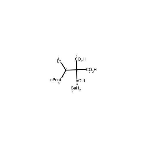 CCCCCCCCC(C(=O)O)(C(=O)O)C(CC)CCCCC.[BaH2]